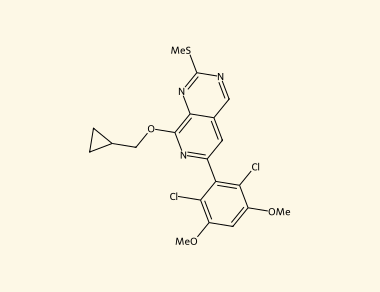 COc1cc(OC)c(Cl)c(-c2cc3cnc(SC)nc3c(OCC3CC3)n2)c1Cl